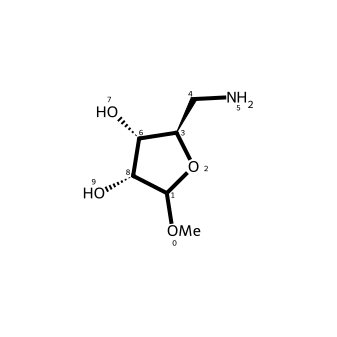 COC1O[C@H](CN)[C@@H](O)[C@H]1O